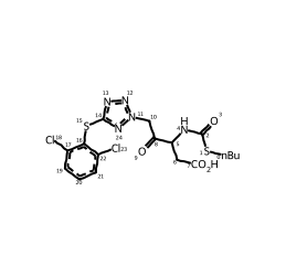 CCCCSC(=O)NC(CC(=O)O)C(=O)Cn1nnc(Sc2c(Cl)cccc2Cl)n1